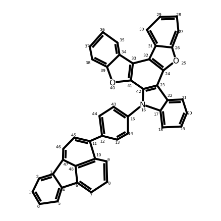 c1ccc2c(c1)-c1cccc3c(-c4ccc(-n5c6ccccc6c6c7oc8ccccc8c7c7c8ccccc8oc7c65)cc4)ccc-2c13